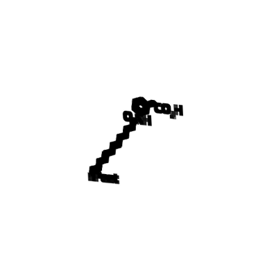 CCCCC/C=C/C/C=C/C/C=C/CCCCC(=O)Nc1cccc(CC(=O)O)c1